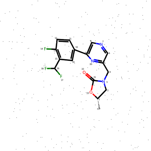 C[C@H]1CN(Cc2cncc(-c3ccc(F)c(C(F)F)c3)n2)C(=O)O1